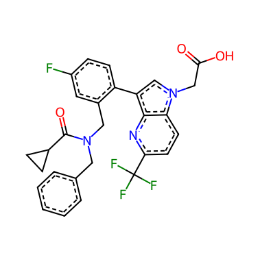 O=C(O)Cn1cc(-c2ccc(F)cc2CN(Cc2ccccc2)C(=O)C2CC2)c2nc(C(F)(F)F)ccc21